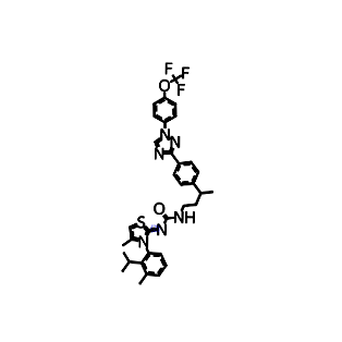 Cc1cccc(-n2c(C)cs/c2=N\C(=O)NCCC(C)c2ccc(-c3ncn(-c4ccc(OC(F)(F)F)cc4)n3)cc2)c1C(C)C